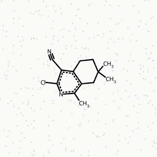 Cc1nc(Cl)c(C#N)c2c1CC(C)(C)CC2